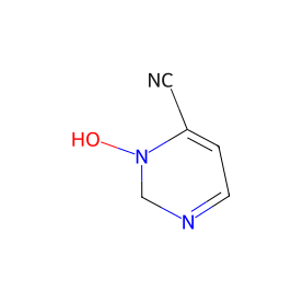 N#CC1=CC=NCN1O